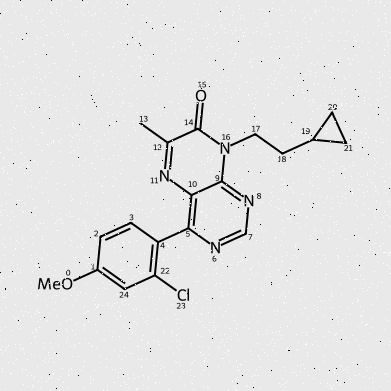 COc1ccc(-c2ncnc3c2nc(C)c(=O)n3CCC2CC2)c(Cl)c1